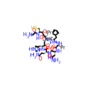 CC(C)C[C@H](NCC(=O)[C@H](Cc1c[nH]cn1)NC(=O)[C@H](CCC(N)=O)NC(=O)[C@H](CC(N)=O)NC(=O)[C@@H](NN[C@H](C=O)Cc1ccccc1)C(C)C)C(=O)C(=O)[C@H](CS)NC(=O)CN